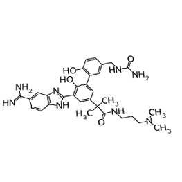 CN(C)CCCNC(=O)C(C)(C)c1cc(-c2nc3cc(C(=N)N)ccc3[nH]2)c(O)c(-c2cc(CNC(N)=O)ccc2O)c1